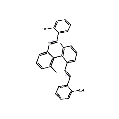 Cc1cccc(/N=C/c2ccccc2O)c1-c1c(C)cccc1/N=C/c1ccccc1O